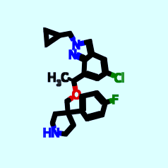 C[C@@H](OCC1(c2ccc(F)cc2)CCNCC1)c1cc(Cl)cc2cn(CC3CC3)nc12